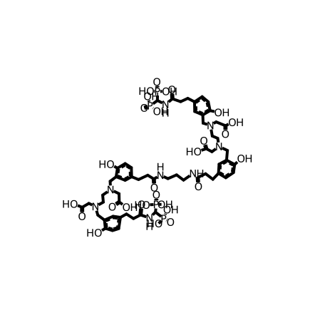 O=C(O)CN(CCN(CC(=O)O)Cc1cc(CCC(=O)NC(P(=O)(O)O)P(=O)(O)O)ccc1O)Cc1cc(CCC(=O)NCCCNC(=O)CCc2ccc(O)c(CN(CCN(CC(=O)O)Cc3cc(CCC(=O)NC(P(=O)(O)O)P(=O)(O)O)ccc3O)CC(=O)O)c2)ccc1O